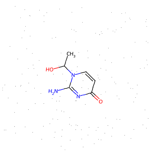 CC(O)n1ccc(=O)nc1N